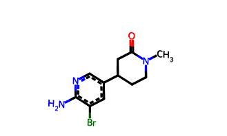 CN1CCC(c2cnc(N)c(Br)c2)CC1=O